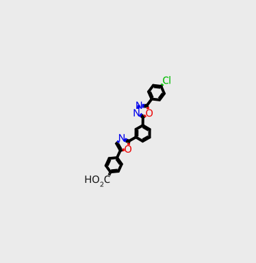 O=C(O)c1ccc(-c2cnc(-c3cccc(-c4nnc(-c5ccc(Cl)cc5)o4)c3)o2)cc1